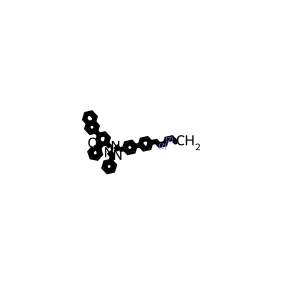 C=C/C=C\C=C/CC1=CC=C(c2ccc(-c3nc(C4=CCC(c5ccc6c(c5)C=CCC6)c5oc6ccccc6c54)nc(-c4ccccc4)n3)cc2)CC1